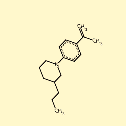 C=C(C)c1ccc(N2CCCC(CCC)C2)cc1